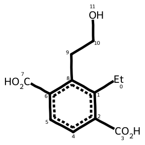 CCc1c(C(=O)O)ccc(C(=O)O)c1CCO